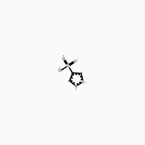 O=S(=O)(Cl)c1cnsc1